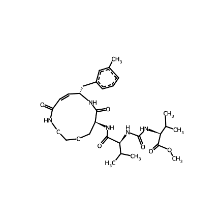 COC(=O)[C@@H](NC(=O)N[C@H](C(=O)N[C@H]1CCCCNC(=O)C=C[C@H](Cc2cccc(C)c2)NC1=O)C(C)C)C(C)C